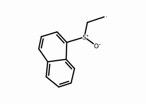 [CH2]C[S+]([O-])c1cccc2ccccc12